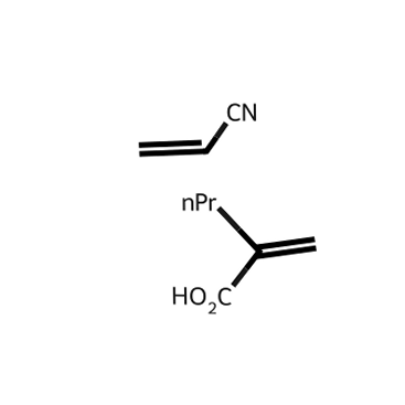 C=C(CCC)C(=O)O.C=CC#N